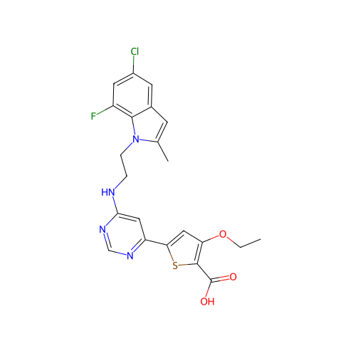 CCOc1cc(-c2cc(NCCn3c(C)cc4cc(Cl)cc(F)c43)ncn2)sc1C(=O)O